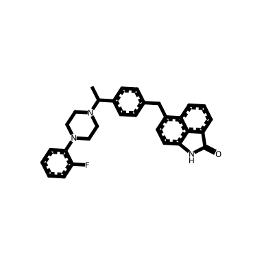 CC(c1ccc(Cc2ccc3c4c(cccc24)C(=O)N3)cc1)N1CCN(c2ccccc2F)CC1